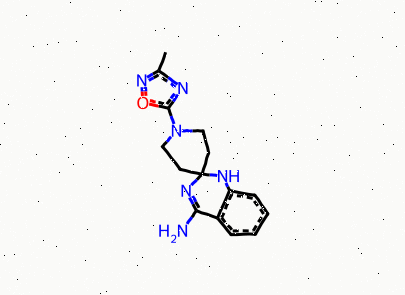 Cc1noc(N2CCC3(CC2)N=C(N)c2ccccc2N3)n1